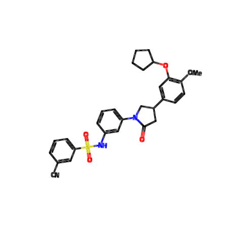 COc1ccc(C2CC(=O)N(c3cccc(NS(=O)(=O)c4cccc(C#N)c4)c3)C2)cc1OC1CCCC1